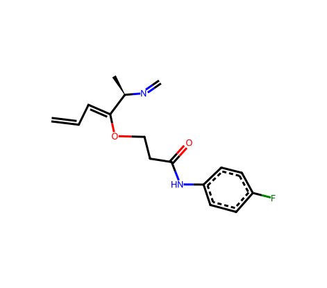 C=C/C=C(\OCCC(=O)Nc1ccc(F)cc1)[C@@H](C)N=C